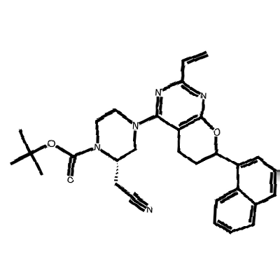 C=Cc1nc2c(c(N3CCN(C(=O)OC(C)(C)C)[C@@H](CC#N)C3)n1)CCC(c1cccc3ccccc13)O2